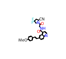 COc1ccc(C=Cc2ccc3nccc(C(=O)NCC(=O)N4CC(F)(F)CC4C#N)c3c2)cc1